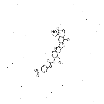 CC[C@@]1(O)C(=O)OCc2c1cc1n(c2=O)Cc2cc3c(CN(C)C)c(OC(=O)Oc4ccc([N+](=O)[O-])cc4)ccc3nc2-1